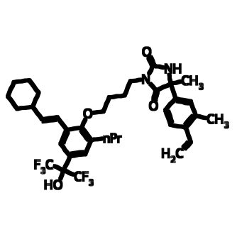 C=Cc1ccc(C2(C)NC(=O)N(CCCCOc3c(/C=C/C4CCCCC4)cc(C(O)(C(F)(F)F)C(F)(F)F)cc3CCC)C2=O)cc1C